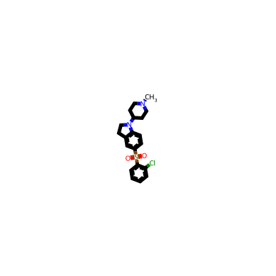 CN1CCC(N2CCc3cc(S(=O)(=O)c4ccccc4Cl)ccc32)CC1